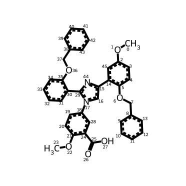 COc1ccc(OCc2ccccc2)c(-c2cn(-c3ccc(OC)c(C(=O)O)c3)c(-c3ccccc3OCc3ccccc3)n2)c1